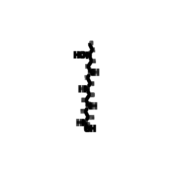 CCN(O)CCNCCNCCNCCNO